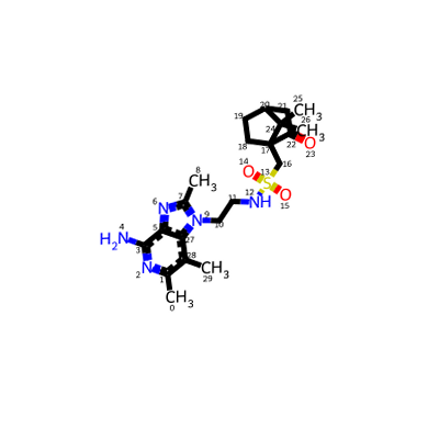 Cc1nc(N)c2nc(C)n(CCNS(=O)(=O)CC34CCC(CC3=O)C4(C)C)c2c1C